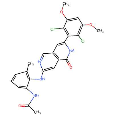 COc1cc(OC)c(Cl)c(-c2cc3cnc(Nc4c(C)cccc4NC(C)=O)cc3c(=O)[nH]2)c1Cl